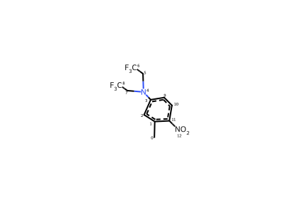 Cc1cc(N(CC(F)(F)F)CC(F)(F)F)ccc1[N+](=O)[O-]